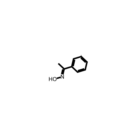 CC(=NO)c1c[c]ccc1